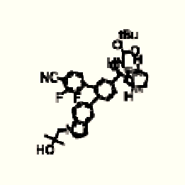 CC(C)(O)Cn1ccc2cc(-c3ccc(C(=O)N4[C@@H]5CC[C@H]4[C@@H](NC(=O)OC(C)(C)C)C5)cc3-c3ccc(C#N)c(F)c3)c(F)cc21